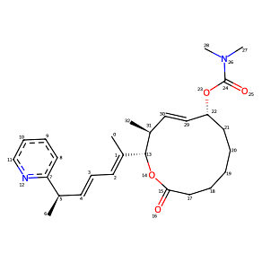 C/C(=C\C=C\[C@@H](C)c1ccccn1)[C@H]1OC(=O)CCCCC[C@@H](OC(=O)N(C)C)/C=C/[C@@H]1C